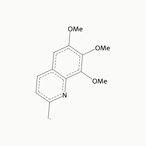 [CH2]c1ccc2cc(OC)c(OC)c(OC)c2n1